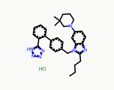 CCCCc1nc2ccc(N3CCCC(C)(C)C3)cc2n1Cc1ccc(-c2ccccc2-c2nnn[nH]2)cc1.Cl